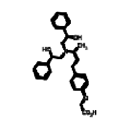 CC(CCc1ccc(OCC(=O)O)cc1)N(CC(O)c1ccccc1)CC(O)c1ccccc1